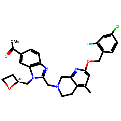 COC(=O)c1ccc2nc(CN3CCc4c(C)cc(OCc5ccc(Cl)cc5F)nc4C3)n(C[C@@H]3CCO3)c2c1